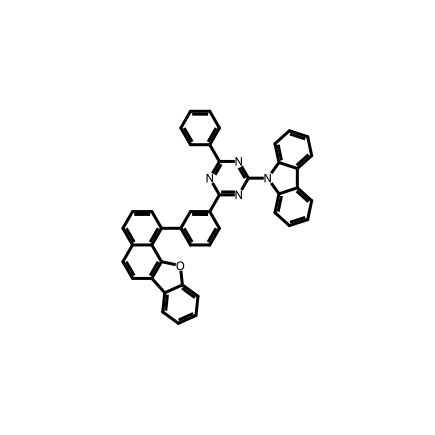 c1ccc(-c2nc(-c3cccc(-c4cccc5ccc6c7ccccc7oc6c45)c3)nc(-n3c4ccccc4c4ccccc43)n2)cc1